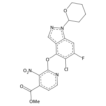 COC(=O)c1ccnc(Oc2c(Cl)c(F)cc3c2cnn3C2CCCCO2)c1[N+](=O)[O-]